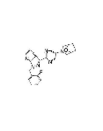 Fc1ccccc1Cn1nc(-c2ncc(N3CC4CCC(C3)O4)cn2)c2cccnc21